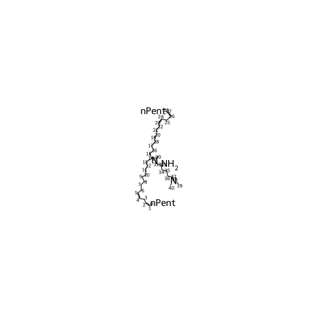 CCCCC/C=C\C/C=C\CCCCCCCCC(CCCCCCCC/C=C\C/C=C\CCCCC)N(C)CC(N)CCCCN(C)C